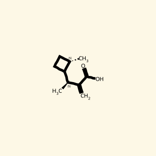 C=C(C(=O)O)[C@@H](C)C1CC[C@@H]1C